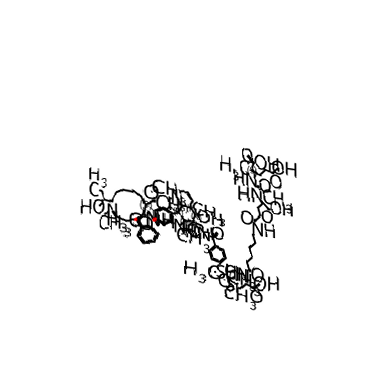 CCC(O)C1CCCC[C@](C(=O)OC)(c2cc3c(cc2OC)N(C)[C@H]2[C@@](O)(CNC(=O)c4ccc([Si](C)(C)O[Si](C)(C)CC(NC(=O)CCCCCNC(=O)CCC(C)(NC(=O)N[C@@](C)(CCC(=O)O)C(=O)O)C(=O)O)C(=O)O)cc4)[C@H](O)[C@]4(C)C=CCN5CC[C@]32[C@H]54)c2[nH]c3ccccc3c2CCN1CC